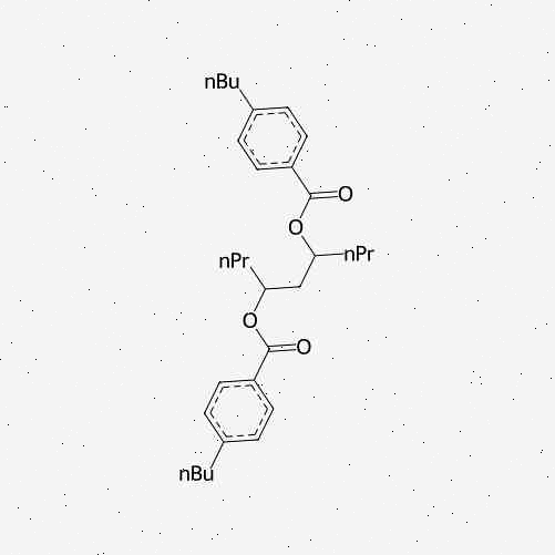 CCCCc1ccc(C(=O)OC(CCC)CC(CCC)OC(=O)c2ccc(CCCC)cc2)cc1